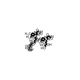 Cc1cc2nc3c(=O)[nH]c(=O)nc-3n(C[C@H](O)[C@H](O)[C@H](O)CO)c2cc1C.Cc1cc2nc3c(=O)[nH]c(=O)nc-3n(C[C@H](O)[C@H](O)[C@H](O)CO)c2cc1C.O=P([O-])([O-])OP(=O)(O)O.[Na+].[Na+]